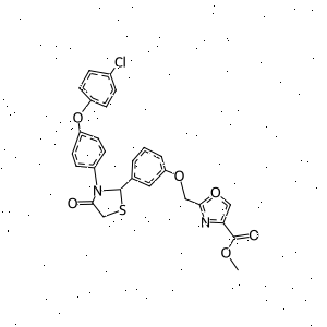 COC(=O)c1coc(COc2cccc(C3SCC(=O)N3c3ccc(Oc4ccc(Cl)cc4)cc3)c2)n1